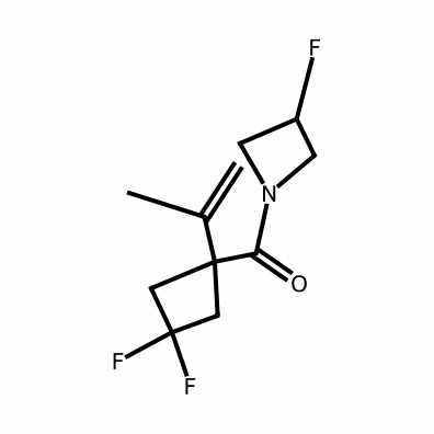 C=C(C)C1(C(=O)N2CC(F)C2)CC(F)(F)C1